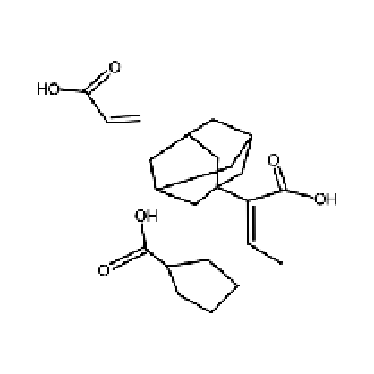 C=CC(=O)O.CC=C(C(=O)O)C12CC3CC(CC(C3)C1)C2.O=C(O)C1CCCC1